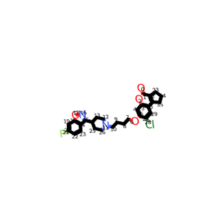 O=c1oc2cc(OCCCCN3CCC(c4noc5cc(F)ccc45)CC3)c(Cl)cc2c2c1CCC2